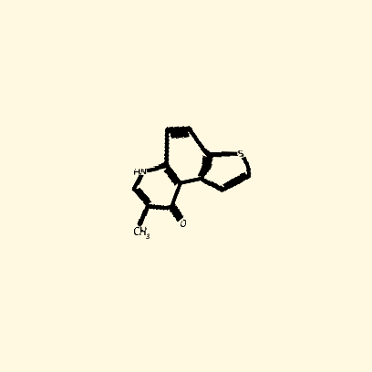 Cc1c[nH]c2ccc3sccc3c2c1=O